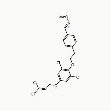 CO/N=C/c1ccc(CCOc2c(Cl)cc(OCC=C(Cl)Cl)cc2Cl)cc1